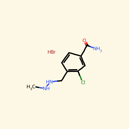 Br.CNNCc1ccc(C(N)=O)cc1Cl